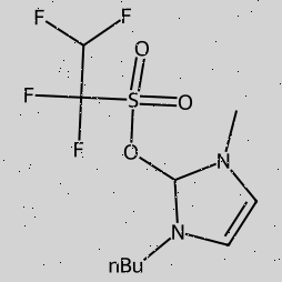 CCCCN1C=CN(C)C1OS(=O)(=O)C(F)(F)C(F)F